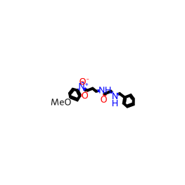 COc1ccc2c(c1)oc(CCNC(=O)CNCc1ccccc1)[n+]2[O-]